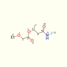 CCOCC(=O)OC(C)CC(=O)NF